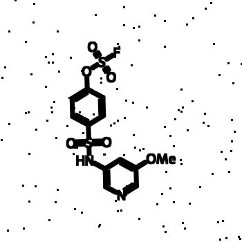 COc1cncc(NS(=O)(=O)c2ccc(OS(=O)(=O)F)cc2)c1